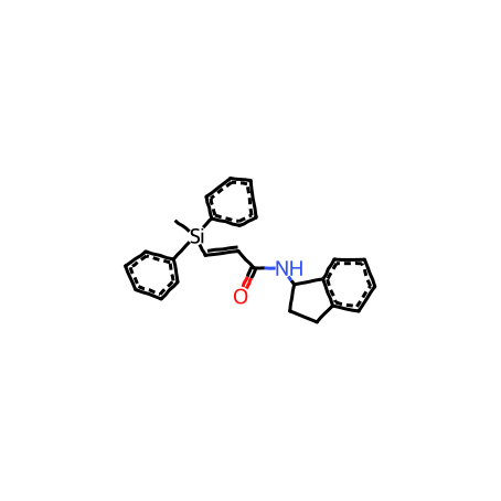 C[Si](C=CC(=O)NC1CCc2ccccc21)(c1ccccc1)c1ccccc1